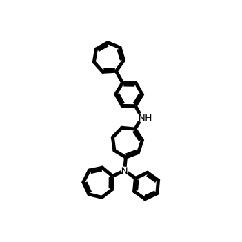 C1=CCC=C(c2ccc(NC3=CC=C(N(C4=CCC=CC=C4)c4ccccc4)CCC3)cc2)C=C1